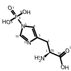 N[C@@H](Cc1cn(P(=O)(O)O)cn1)C(=O)O